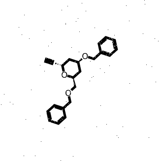 C#C[C@@H]1C[C@@H](OCc2ccccc2)C[C@@H](COCc2ccccc2)O1